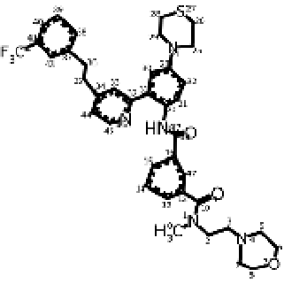 CN(CCN1CCOCC1)C(=O)c1cccc(C(=O)Nc2ccc(N3CCSCC3)cc2-c2cc(CCc3cccc(C(F)(F)F)c3)ccn2)c1